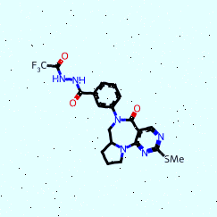 CSc1ncc2c(n1)N1CCCC1CN(c1cccc(C(=O)NNC(=O)C(F)(F)F)c1)C2=O